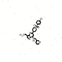 C=Cc1cnn2c(NCc3cccnc3)cc(C3CCN(S(=O)(=O)C4=CC=C(Cl)CC4)CC3)nc12